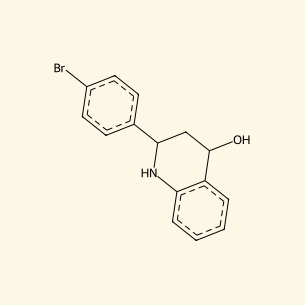 OC1CC(c2ccc(Br)cc2)Nc2ccccc21